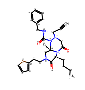 C#CCN1CC(=O)N2[C@@H](CCCC)C(=O)N(CCc3cccs3)C[C@@H]2N1C(=O)NCc1ccccc1